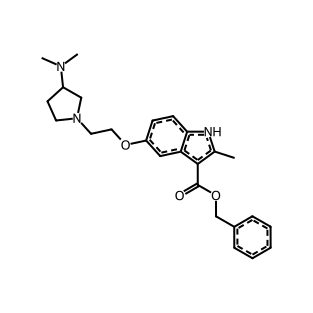 Cc1[nH]c2ccc(OCCN3CCC(N(C)C)C3)cc2c1C(=O)OCc1ccccc1